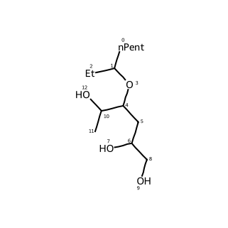 CCCCCC(CC)OC(CC(O)CO)C(C)O